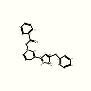 O=C(CN1C=CCC(c2cc(Cc3ccccc3)[nH]n2)=C1)c1ccccc1